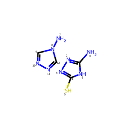 Nc1nnc(S)[nH]1.Nn1cnnc1